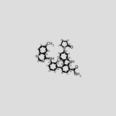 Cc1ccc2ncnc(Nc3cccc(-c4ccc(C(N)=O)c5[nH]c6cc(N7CCCC7=O)ccc6c45)c3C)c2c1